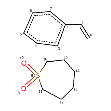 C=Cc1ccccc1.O=S1(=O)CCCCCC1